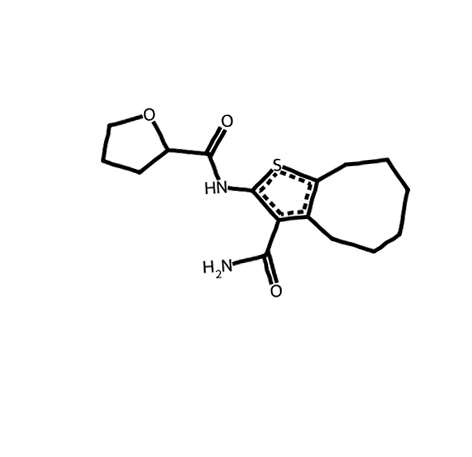 NC(=O)c1c(NC(=O)C2CCCO2)sc2c1CCCCCC2